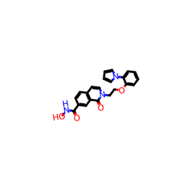 O=C(NO)c1ccc2ccn(CCOc3ccccc3-n3cccc3)c(=O)c2c1